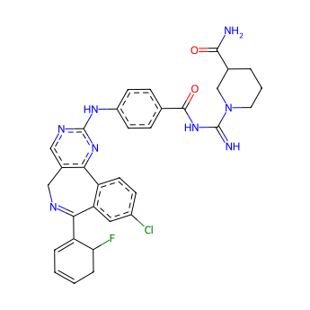 N=C(NC(=O)c1ccc(Nc2ncc3c(n2)-c2ccc(Cl)cc2C(C2=CC=CCC2F)=NC3)cc1)N1CCCC(C(N)=O)C1